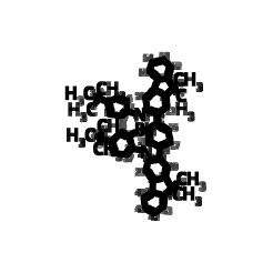 CC(C)(C)c1ccc(Nc2cc3c(cc2-c2ccc4c5cc6c(cc5n5c4c2Bc2cc(C(C)(C)C)ccc2-5)-c2ccccc2C6(C)C)C(C)(C)c2ccccc2-3)cc1